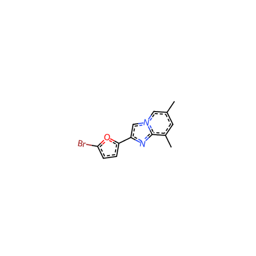 Cc1cc(C)c2nc(-c3ccc(Br)o3)cn2c1